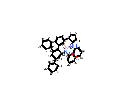 C1=CC(c2cccc3c2B(Nc2ccccc2)N(c2ccccc2)c2cc(-c4ccccc4)cc(-c4ccccc4)c2-3)C=C1